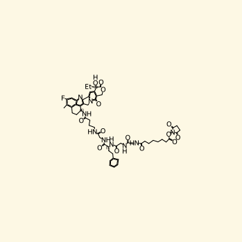 CC[C@@]1(O)C(=O)OCc2c1cc1n(c2=O)Cc2c-1nc1cc(F)c(C)c3c1c2[C@@H](NC(=O)CCCNC(=O)CNC(=O)[C@H](CCc1ccccc1)NC(=O)CNC(=O)CNC(=O)CCCCCCC(=O)ON1C(=O)CCC1=O)CC3